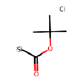 CC(C)(C)OC(=O)[Si].[C]